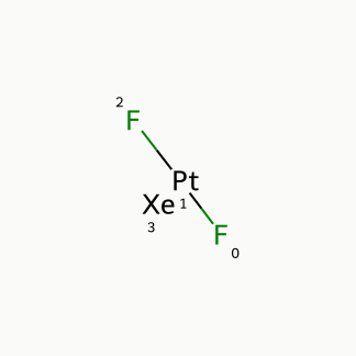 [F][Pt][F].[Xe]